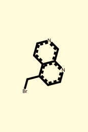 BrCc1ccnc2cnccc12